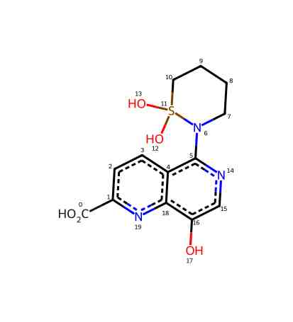 O=C(O)c1ccc2c(N3CCCCS3(O)O)ncc(O)c2n1